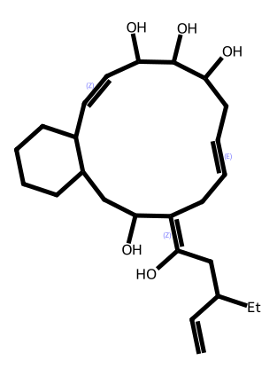 C=CC(CC)C/C(O)=C1\C/C=C/CC(O)C(O)C(O)/C=C\C2CCCCC2CC1O